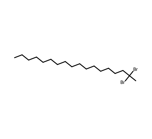 CCCCCCCCCCCCCCCCC(C)(Br)Br